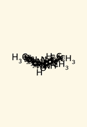 CN(C)CCN(C)c1cc2[nH]c(=O)c(-c3nc4cc(N5CCN(C)CC5)ccc4[nH]3)c(N)c2cc1F